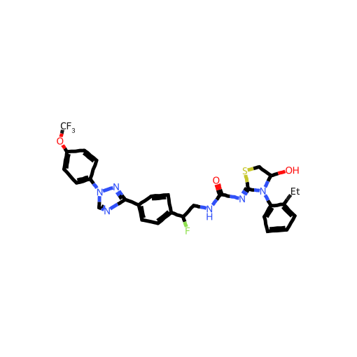 CCc1ccccc1N1/C(=N/C(=O)NCC(F)c2ccc(-c3ncn(-c4ccc(OC(F)(F)F)cc4)n3)cc2)SCC1O